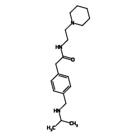 CC(C)NCc1ccc(CC(=O)NCCN2CCCCC2)cc1